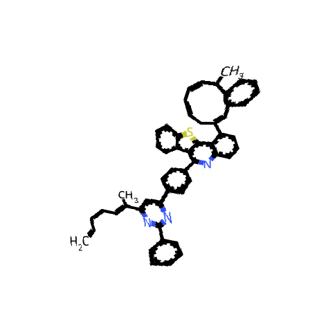 C=C/C=C\C=C(/C)c1cc(-c2ccc(-c3nc4cccc(/C5=C/c6ccccc6C(C)/C=C\C=C/C5)c4c4sc5ccccc5c34)cc2)nc(-c2ccccc2)n1